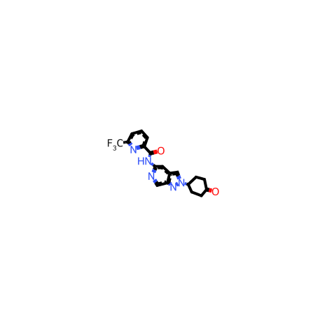 O=C1CCC(n2cc3cc(NC(=O)c4cccc(C(F)(F)F)n4)ncc3n2)CC1